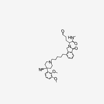 CNC(=O)C(CCC=O)N1Cc2c(CCCCCN3CCC(C#N)(c4cccc(OC)c4OC)CC3)cccc2C1=O